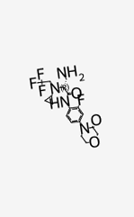 NC[C@H](C(=O)Nc1ccc(N2CCOCC2=O)cc1F)N(CC(F)(F)F)C1CC1